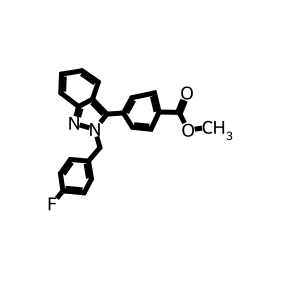 COC(=O)c1ccc(-c2c3ccccc3nn2Cc2ccc(F)cc2)cc1